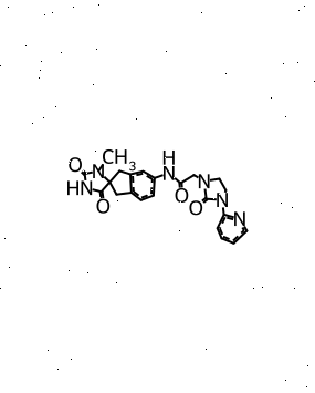 CN1C(=O)NC(=O)C12Cc1ccc(NC(=O)CN3CCN(c4ccccn4)C3=O)cc1C2